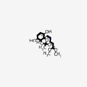 COC(CC/C=C\[C@@]12OC(C)(C)O[C@@H]1[C@@H](O)C=C[C@H]2O)OC